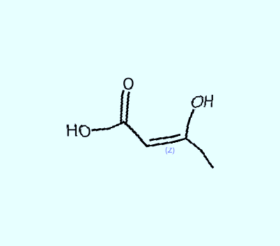 C/C(O)=C/C(=O)O